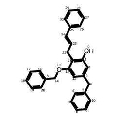 Oc1cc(Cc2ccccc2)cc(OCc2ccccc2)c1C/C=C/c1ccccc1